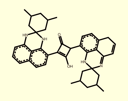 CC1CC(C)CC2(C1)N=C1C=CCc3ccc(C4C(=O)C(c5ccc6cccc7c6c5NC5(CC(C)CC(C)C5)N7)=C4O)c(c31)N2